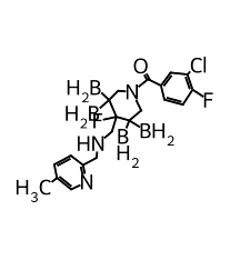 BC1(B)CN(C(=O)c2ccc(F)c(Cl)c2)CC(B)(B)C1(F)CNCc1ccc(C)cn1